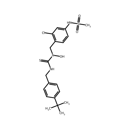 CC(C)(C)c1ccc(CNC(=S)N(O)Cc2ccc(NS(C)(=O)=O)cc2Cl)cc1